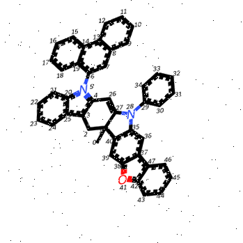 CC12Cc3c(n(-c4cc5ccccc5c5ccccc45)c4ccccc34)C=C1N(c1ccccc1)c1cc3c(cc12)oc1ccccc13